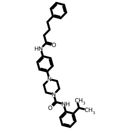 CC(C)c1ccccc1NC(=O)N1CCN(c2ccc(NC(=O)CCCc3ccccc3)cc2)CC1